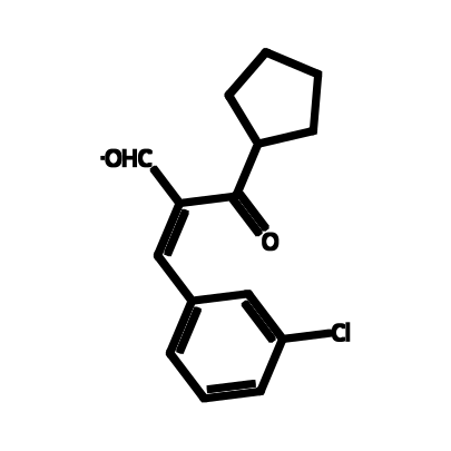 O=[C]C(=Cc1cccc(Cl)c1)C(=O)C1CCCC1